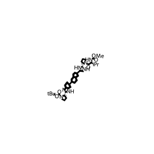 COC(=O)N[C@H](C(=O)N1CCC[C@H]1C1NC=C(c2ccc3cc(-c4ccc5nc([C@@H]6CCCN6C(=O)OC(C)(C)C)[nH]c5c4)ccc3c2)N1)C(C)C